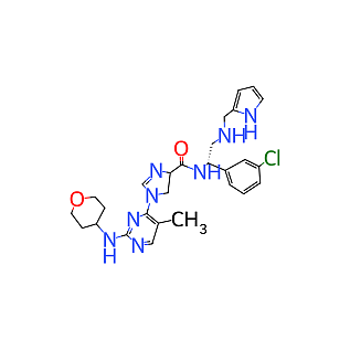 Cc1cnc(NC2CCOCC2)nc1N1C=NC(C(=O)N[C@H](CNCc2ccc[nH]2)c2cccc(Cl)c2)C1